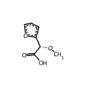 CO[C@H](C(=O)O)c1ccco1